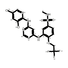 CNS(=O)(=O)c1ccc(OCC(F)(F)F)c(Nc2cc(Nc3ncc(Cl)cc3Cl)ncn2)c1